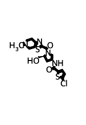 CN1CCc2nc(C(=O)N3CC(NC(=O)c4ccc(Cl)s4)C[C@H]3CO)sc2C1